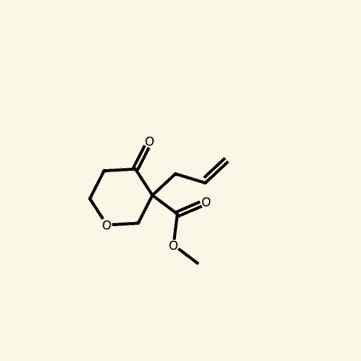 C=CCC1(C(=O)OC)COCCC1=O